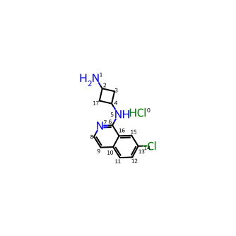 Cl.NC1CC(Nc2nccc3ccc(Cl)cc23)C1